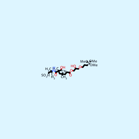 CO[Si](CCCOCC(O)COC(=O)CCC(C)(C#N)CC(C)(CO)C(=O)NC(C)(C)CS(=O)(=O)O)(OC)OC